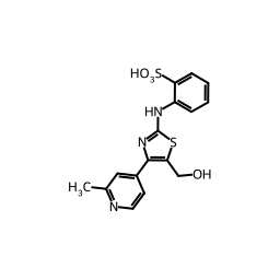 Cc1cc(-c2nc(Nc3ccccc3S(=O)(=O)O)sc2CO)ccn1